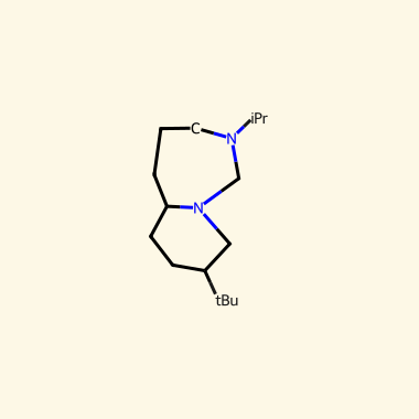 CC(C)N1CCCC2CCC(C(C)(C)C)CN2C1